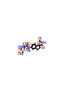 CC(C)(C)OC(=O)NC(C)(C)C(=O)Nc1ccc2c(c1)CCC21OC(=O)NC1=O